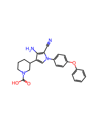 N#Cc1c(N)c(C2CCCN(C(=O)O)C2)cn1-c1ccc(Oc2ccccc2)cc1